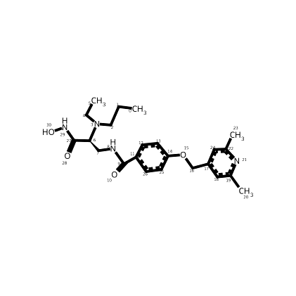 CCCN(CC)[C@@H](CNC(=O)c1ccc(OCc2cc(C)nc(C)c2)cc1)C(=O)NO